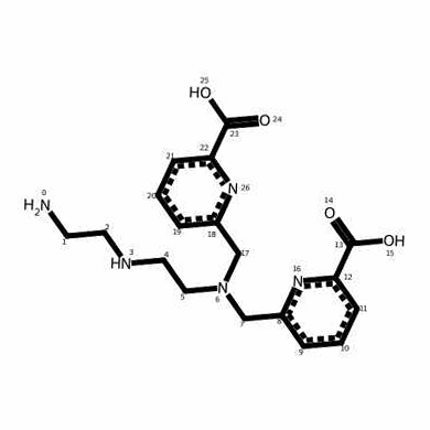 NCCNCCN(Cc1cccc(C(=O)O)n1)Cc1cccc(C(=O)O)n1